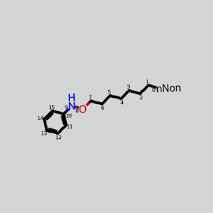 CCCCCCCCCCCCCCCCONc1ccccc1